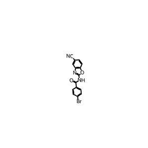 N#Cc1ccc2oc(NC(=O)c3ccc(Br)cc3)nc2c1